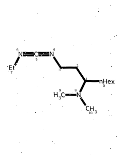 CCCCCCC(CCN=C=NCC)N(C)C